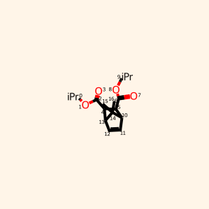 CC(C)OC(=O)C1C(C(=O)OC(C)C)C2C=CC1C2(C)C